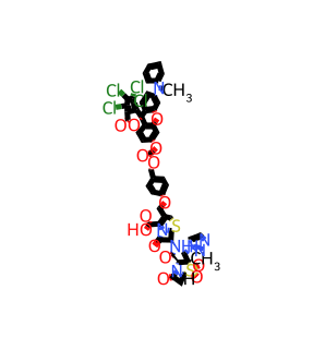 CN(c1ccccc1)c1ccc2c(c1)Oc1cc(OC(=O)OCc3ccc(OCC4=C(C(=O)O)N5C(=O)[C@@H](NC(=O)[C@@H]6N7C(=O)C[C@H]7S(=O)(=O)[C@]6(C)Cn6ccnn6)C5SC4)cc3)ccc1C21OC(=O)c2c(Cl)c(Cl)c(Cl)c(Cl)c21